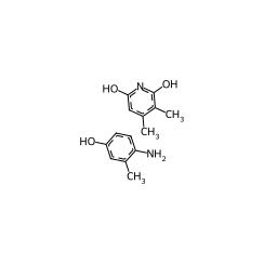 Cc1cc(O)ccc1N.Cc1cc(O)nc(O)c1C